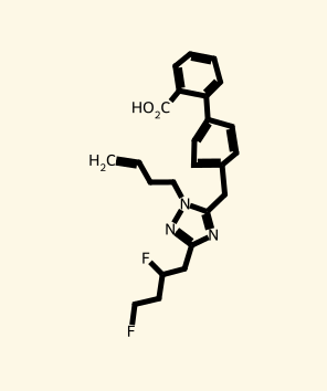 C=CCCn1nc(CC(F)CCF)nc1Cc1ccc(-c2ccccc2C(=O)O)cc1